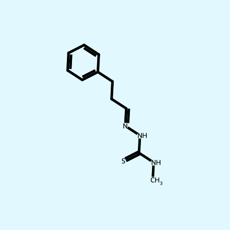 CNC(=S)N/N=C/CCc1ccccc1